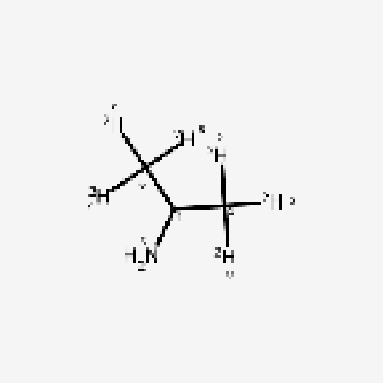 [2H]C([2H])([2H])C(N)C([2H])([2H])[2H]